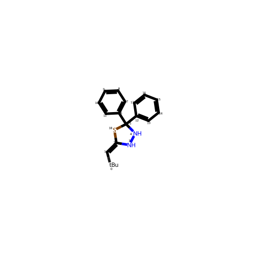 CC(C)(C)/C=C1\NNC(c2ccccc2)(c2ccccc2)S1